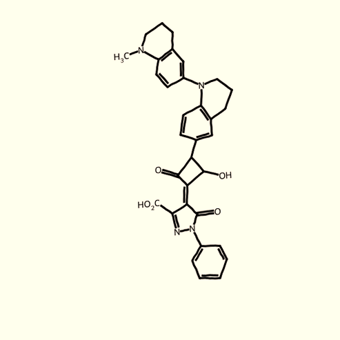 CN1CCCc2cc(N3CCCc4cc(C5C(=O)/C(=C6/C(=O)N(c7ccccc7)N=C6C(=O)O)C5O)ccc43)ccc21